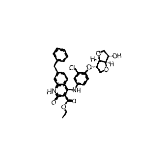 CCOC(=O)c1c(Nc2ccc(O[C@H]3CO[C@H]4[C@@H]3OC[C@@H]4O)c(Cl)c2)c2ccc(Cc3ccccc3)cc2[nH]c1=O